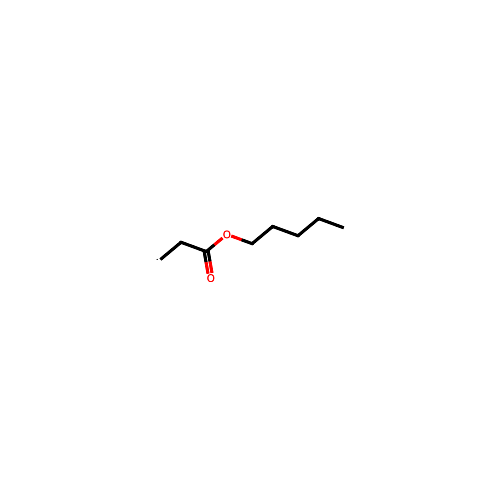 [CH2]CC(=O)OCCCCC